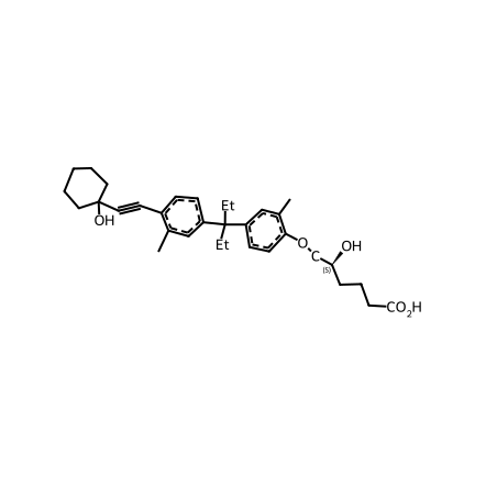 CCC(CC)(c1ccc(C#CC2(O)CCCCC2)c(C)c1)c1ccc(OC[C@@H](O)CCCC(=O)O)c(C)c1